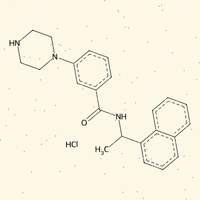 CC(NC(=O)c1cccc(N2CCNCC2)c1)c1cccc2ccccc12.Cl